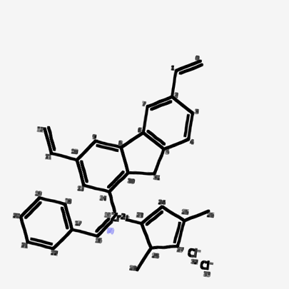 C=Cc1ccc2c(c1)-c1cc(C=C)c[c](/[Zr+2](=[CH]\c3ccccc3)[C]3=CC(C)=CC3C)c1C2.[Cl-].[Cl-]